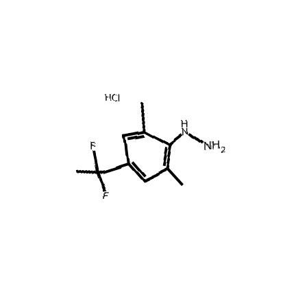 Cc1cc(C(C)(F)F)cc(C)c1NN.Cl